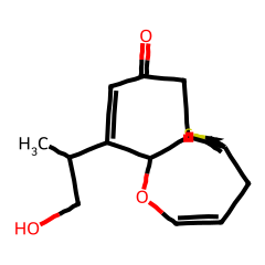 CC(CO)C1=CC(=O)CC23SCC=C2CC=COC13